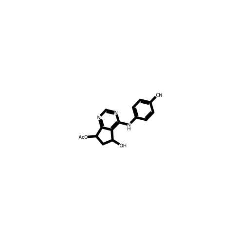 CC(=O)OC1CC(O)c2c(Nc3ccc(C#N)cc3)ncnc21